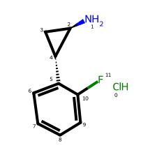 Cl.N[C@@H]1C[C@H]1c1ccccc1F